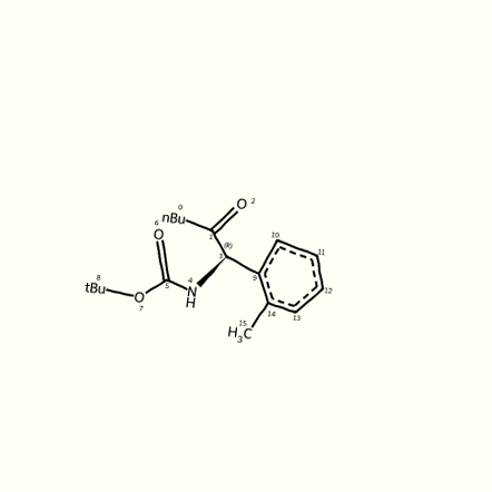 CCCCC(=O)[C@H](NC(=O)OC(C)(C)C)c1ccccc1C